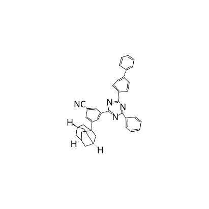 N#Cc1cc(-c2nc(-c3ccccc3)nc(-c3ccc(-c4ccccc4)cc3)n2)cc(C23C[C@H]4C[C@H](C2)C[C@@H](C3)C4)c1